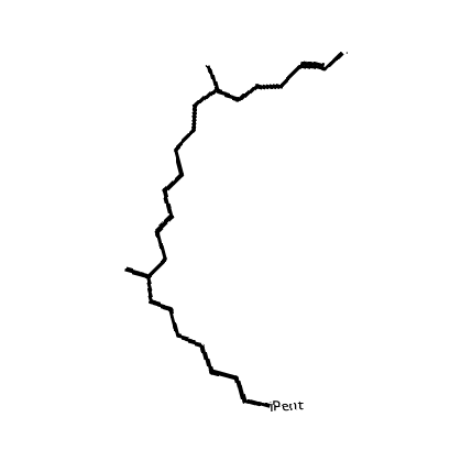 [CH2]C=CCCCC(C)CCCCCCCCC(C)CCCCCCCC(C)CC[CH2]